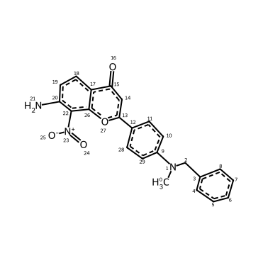 CN(Cc1ccccc1)c1ccc(-c2cc(=O)c3ccc(N)c([N+](=O)[O-])c3o2)cc1